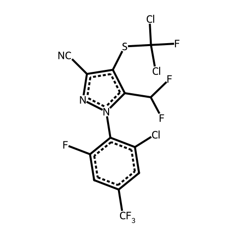 N#Cc1nn(-c2c(F)cc(C(F)(F)F)cc2Cl)c(C(F)F)c1SC(F)(Cl)Cl